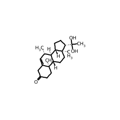 C[C@H]1C=C2CC(=O)CC[C@]2(C)[C@H]2CC[C@]3(C)[C@@H](C(C)(O)O)CC[C@H]3[C@H]12